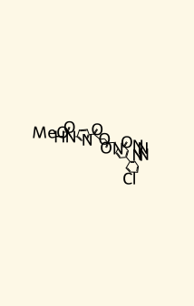 COC(=O)Nc1ccc(C(=O)COC(=O)Cn2ccc(-c3cc(Cl)ccc3-n3cnnn3)cc2=O)nc1